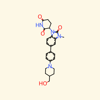 Cn1c(=O)n(C2CCC(=O)NC2=O)c2ccc(-c3ccc(N4CCC(CO)CC4)cc3)cc21